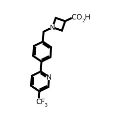 O=C(O)C1CN(Cc2ccc(-c3ccc(C(F)(F)F)cn3)cc2)C1